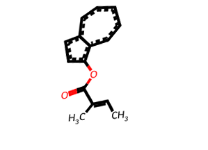 CC=C(C)C(=O)Oc1ccc2cccccc1-2